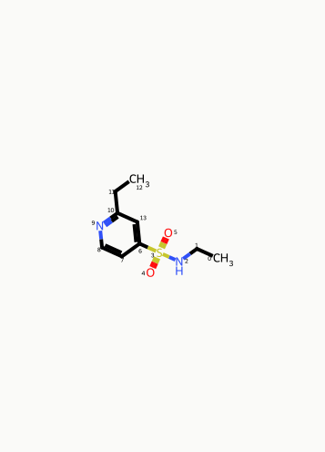 CCNS(=O)(=O)c1ccnc(CC)c1